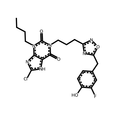 CCCCn1c(=O)n(CCCc2noc(Cc3ccc(O)c(F)c3)n2)c(=O)c2[nH]c(Cl)nc21